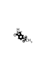 CS(=O)(=O)c1ccc2c(c1)CNC2=O